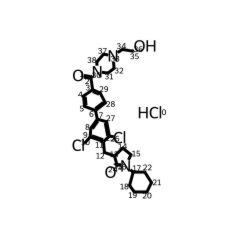 Cl.O=C(c1ccc(-c2cc(Cl)c(CC3CCN(C4CCCCC4)C3=O)c(Cl)c2)cc1)N1CCN(CCO)CC1